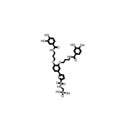 O=C(NCCCOc1ccc(-c2ccc(S(=O)(=O)NCP(=O)(O)O)s2)cc1OCCCNC(=O)c1ccc(O)c(O)c1)c1ccc(O)c(O)c1